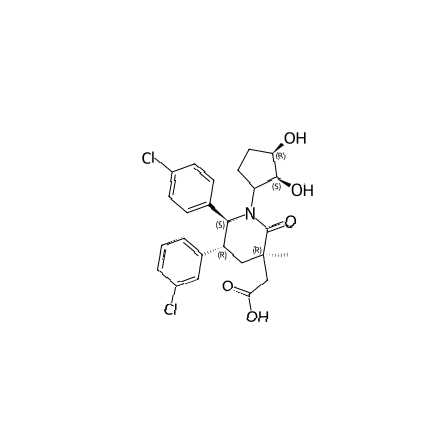 C[C@]1(CC(=O)O)C[C@H](c2cccc(Cl)c2)[C@@H](c2ccc(Cl)cc2)N(C2CC[C@@H](O)[C@H]2O)C1=O